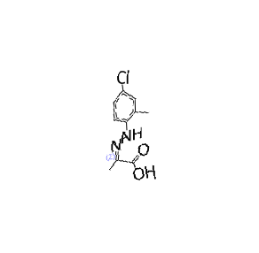 C/C(=N/Nc1ccc(Cl)cc1C)C(=O)O